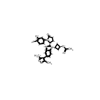 CC(=O)O[C@H]1C[C@H](n2c([C@@H]3CCC(=O)N3c3ccc(F)c(F)c3)nc3cc(-c4c(C)noc4C)ccc32)C1